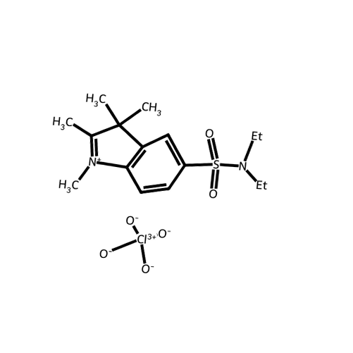 CCN(CC)S(=O)(=O)c1ccc2c(c1)C(C)(C)C(C)=[N+]2C.[O-][Cl+3]([O-])([O-])[O-]